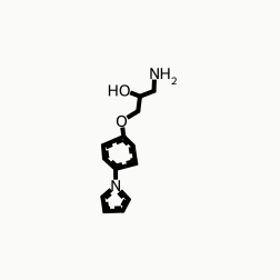 NCC(O)COc1ccc(-n2cccc2)cc1